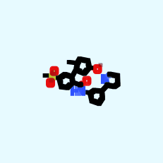 COc1ccc(C)c(-c2cc(S(C)(=O)=O)ccc2C(=O)Nc2cccc(-c3ccccn3)c2)c1